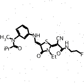 CCn1c(=C(C#N)C(=O)NCCF)sc(=CNc2cccc(N(C)C(=O)C(C)C)c2)c1=O